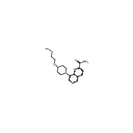 CC(C)OCCOC1CCN(c2cncc3ccc(C(N)=O)nc23)CC1